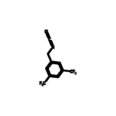 O=C=NCc1cc(C(F)(F)F)cc(C(F)(F)F)c1